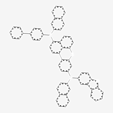 c1ccc(-c2ccc(N(c3ccc4ccccc4c3)c3ccc4c5c(cccc35)Sc3cc(N(c5ccc6ccccc6c5)c5ccc6oc7ccccc7c6c5)ccc3-4)cc2)cc1